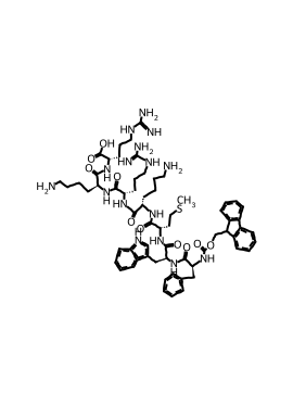 CSCC[C@H](NC(=O)[C@H](Cc1c[nH]c2ccccc12)NC(=O)[C@H](Cc1ccccc1)NC(=O)OCC1c2ccccc2-c2ccccc21)C(=O)N[C@@H](CCCCN)C(=O)N[C@@H](CCCNC(=N)N)C(=O)N[C@@H](CCCCN)C(=O)N[C@@H](CCCNC(=N)N)C(=O)O